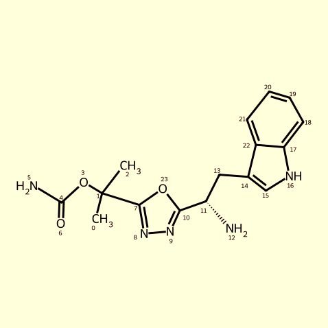 CC(C)(OC(N)=O)c1nnc([C@@H](N)Cc2c[nH]c3ccccc23)o1